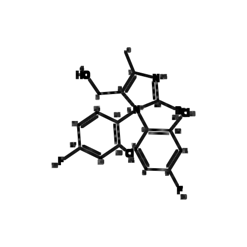 CC1=C(CO)[N+](c2ccc(F)cc2Cl)(c2ccc(F)cc2Cl)C(Br)=N1